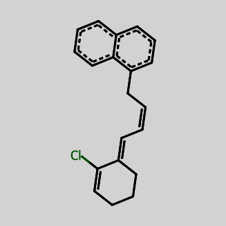 ClC1=CCCC/C1=C\C=C/Cc1cccc2ccccc12